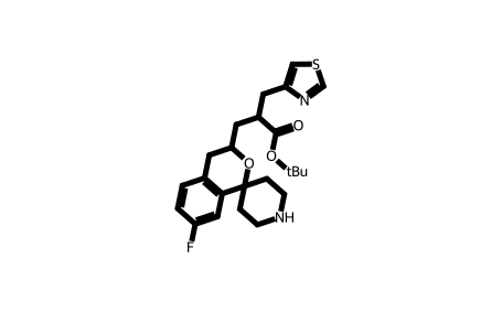 CC(C)(C)OC(=O)C(Cc1cscn1)CC1Cc2ccc(F)cc2C2(CCNCC2)O1